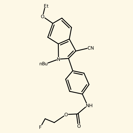 CCCCn1c(-c2ccc(NC(=O)OCCF)cc2)c(C#N)c2ccc(OCC)cc21